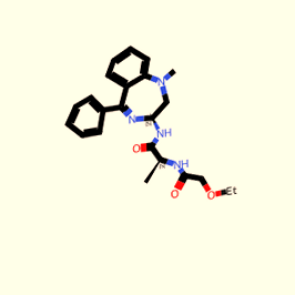 CCOCC(=O)N[C@@H](C)C(=O)N[C@@H]1CN(C)c2ccccc2C(c2ccccc2)=N1